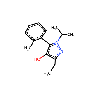 CCc1nn(C(C)C)c(-c2ccccc2C)c1O